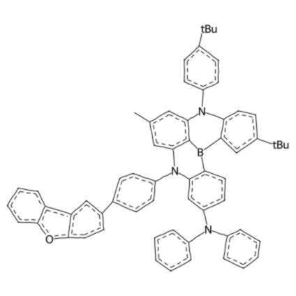 Cc1cc2c3c(c1)N(c1ccc(-c4ccc5oc6ccccc6c5c4)cc1)c1cc(N(c4ccccc4)c4ccccc4)ccc1B3c1cc(C(C)(C)C)ccc1N2c1ccc(C(C)(C)C)cc1